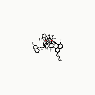 CC[C@@H]1Cc2nc(-c3cc(OCOC)cc4ccc(F)c(C#C[Si](C(C)C)(C(C)C)C(C)C)c34)c(F)c3nc(OC[C@@]45CCCN4C[C@H](F)C5)nc(c23)N2C[C@H]3CC[C@@H]([C@H]12)N3C(=O)OC(C)(C)C